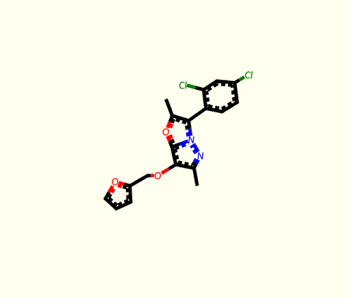 Cc1nn2c(-c3ccc(Cl)cc3Cl)c(C)oc2c1OCc1ccco1